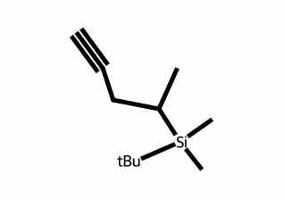 C#CCC(C)[Si](C)(C)C(C)(C)C